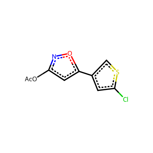 CC(=O)Oc1cc(-c2csc(Cl)c2)on1